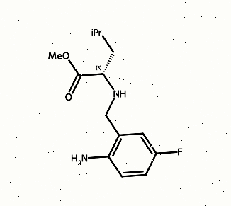 COC(=O)[C@H](CC(C)C)NCc1cc(F)ccc1N